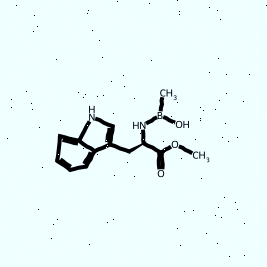 COC(=O)[C@@H](Cc1c[nH]c2ccccc12)NB(C)O